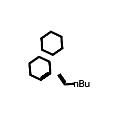 C1=CCCCC1.C1CCCCC1.C=CCCCC